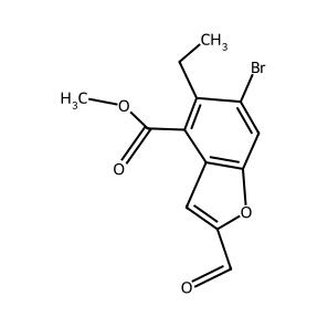 CCc1c(Br)cc2oc(C=O)cc2c1C(=O)OC